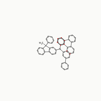 CC1(c2ccccc2)c2ccccc2-c2ccc(N(c3cccc(-c4ccccc4)c3)c3ccccc3-c3ccccc3-c3ccccc3-c3ccccc3)cc21